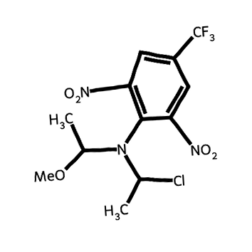 COC(C)N(c1c([N+](=O)[O-])cc(C(F)(F)F)cc1[N+](=O)[O-])C(C)Cl